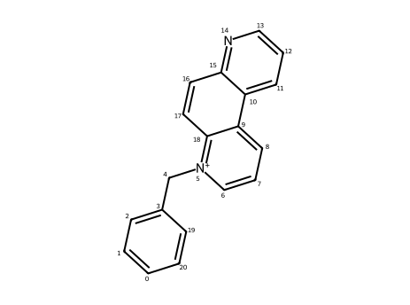 c1ccc(C[n+]2cccc3c4cccnc4ccc32)cc1